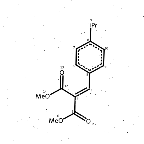 COC(=O)C(=Cc1ccc(C(C)C)cc1)C(=O)OC